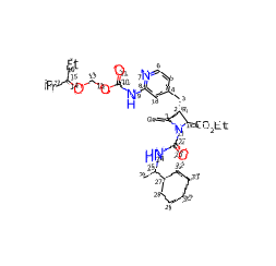 C=C1[C@H](Cc2ccnc(NC(=O)OCOC(CC)C(C)C)c2)C(C(=O)OCC)N1C(=O)NC(C)C1CCCCC1